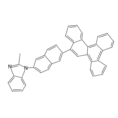 Cc1nc2ccccc2n1-c1ccc2cc(-c3cc4c5ccccc5c5ccccc5c4c4ccccc34)ccc2c1